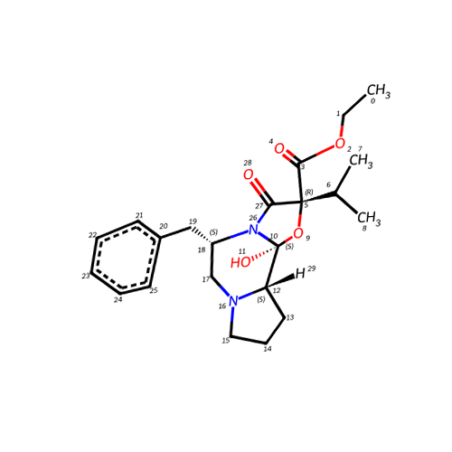 CCOC(=O)[C@]1(C(C)C)O[C@@]2(O)[C@@H]3CCCN3C[C@H](Cc3ccccc3)N2C1=O